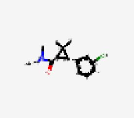 CON(C)C(=O)[C@@H]1[C@@H](c2cccc(Cl)c2)C1(C)C